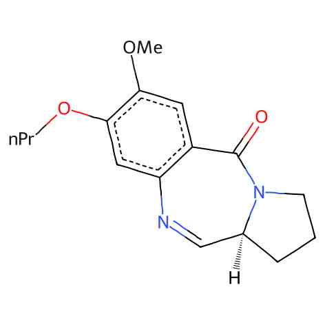 CCCOc1cc2c(cc1OC)C(=O)N1CCC[C@H]1C=N2